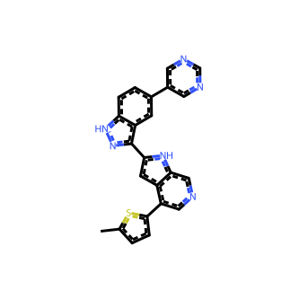 Cc1ccc(-c2cncc3[nH]c(-c4n[nH]c5ccc(-c6cncnc6)cc45)cc23)s1